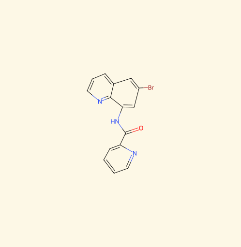 O=C(Nc1cc(Br)cc2cccnc12)c1ccccn1